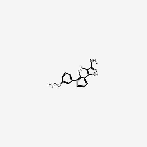 COc1cccc(-c2cccc3c2nnc2c(N)n[nH]c23)c1